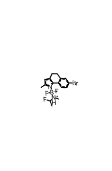 Cc1cc2c(n1[B-](F)(F)[NH+](C)C(C)F)-c1ccc(Br)cc1CC2